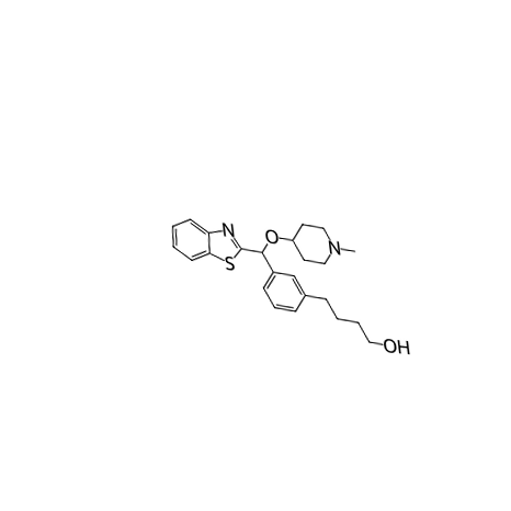 CN1CCC(OC(c2cccc(CCCCO)c2)c2nc3ccccc3s2)CC1